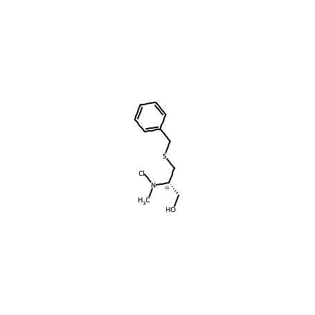 CN(Cl)[C@@H](CO)CSCc1ccccc1